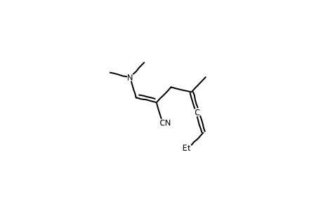 CCC=C=C(C)C/C(C#N)=C\N(C)C